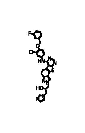 O[C@H](Cn1ccnc1)Cn1cc2c(n1)CCc1c-2sc2ncnc(Nc3ccc(OCc4cccc(F)c4)c(Cl)c3)c12